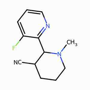 CN1CCCC(C#N)C1c1ncccc1F